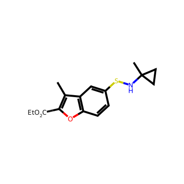 CCOC(=O)c1oc2ccc(SNC3(C)CC3)cc2c1C